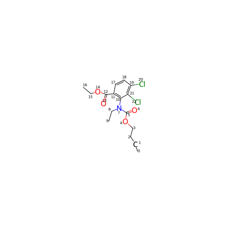 CCCCOC(=O)N(CC)c1c(C(=O)OCC)ccc(Cl)c1Cl